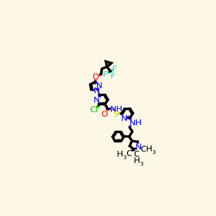 CN1CC(C(CCNc2cccc(SNC(=O)c3ccc(-n4ccc(OCCC5(C(F)(F)F)CC5)n4)nc3Cl)n2)c2ccccc2)CC1(C)C